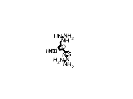 Cl.Cl.N=C(N)NCc1ccc(-c2csc(N=C(N)N)n2)o1